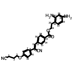 N#CCCCOc1ccc(C(C#N)=Cc2ccc(C(=O)OCCc3ccc(N)cc3N)cc2)cc1